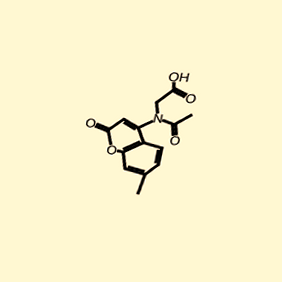 CC(=O)N(CC(=O)O)c1cc(=O)oc2cc(C)ccc12